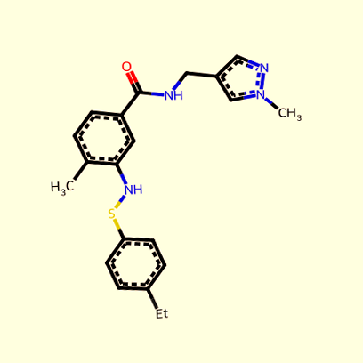 CCc1ccc(SNc2cc(C(=O)NCc3cnn(C)c3)ccc2C)cc1